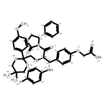 COc1ccc(C2(CS[C@@H](C(=O)N3C(=O)OC[C@@H]3c3ccccc3)[C@@H](Nc3ccc(F)cc3)c3ccc(OCC(=O)O)cc3)OCC(C)(C)CO2)cc1